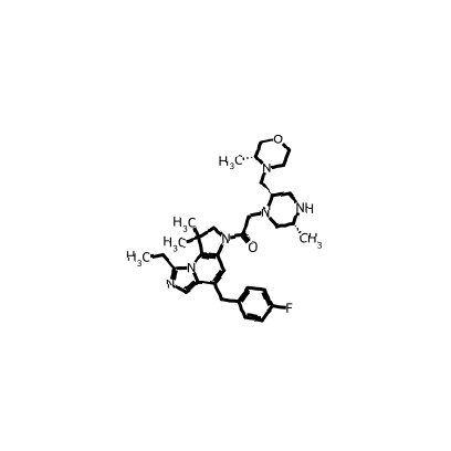 CCc1ncc2c(Cc3ccc(F)cc3)cc3c(n12)C(C)(C)CN3C(=O)CN1C[C@@H](C)NC[C@@H]1CN1CCOC[C@H]1C